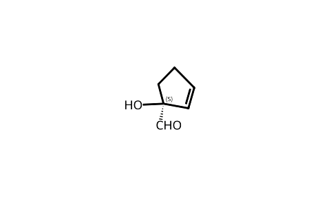 O=C[C@@]1(O)C=CCC1